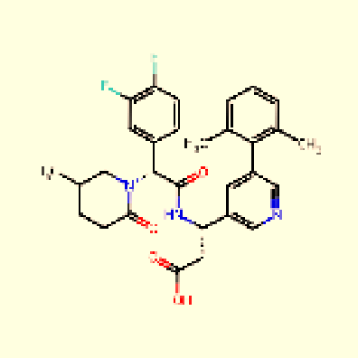 Cc1cccc(C)c1-c1cncc([C@H](CC(=O)O)NC(=O)[C@@H](c2ccc(F)c(F)c2)N2CC(C)CCC2=O)c1